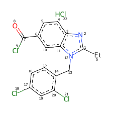 CCc1nc2ccc(C(=O)Cl)cc2n1Cc1ccc(Cl)cc1Cl.Cl